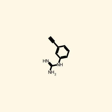 C#Cc1cccc(NC(=N)N)c1